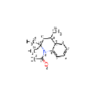 CCC(=O)N1c2ccccc2C(C)CC1(C)C